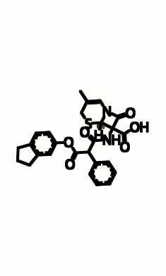 CC1=CN2C(=O)C(NC(=O)C(C(=O)Oc3ccc4c(c3)CCC4)c3ccccc3)(C(=O)O)[C@@H]2SC1